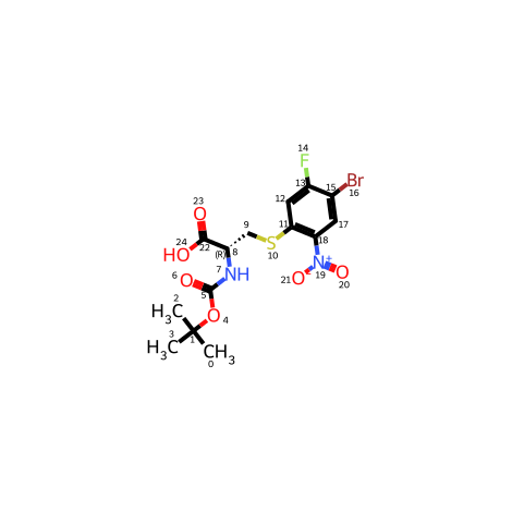 CC(C)(C)OC(=O)N[C@@H](CSc1cc(F)c(Br)cc1[N+](=O)[O-])C(=O)O